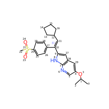 CC(C)Oc1cnc2[nH]c(/C(=C/C3CCCC3)c3ccc(S(C)(=O)=O)cc3)cc2c1